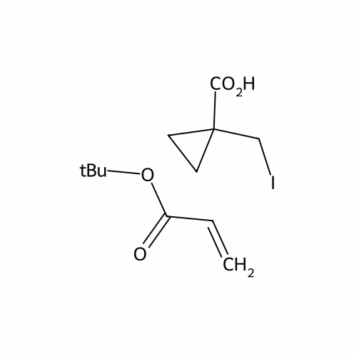 C=CC(=O)OC(C)(C)C.O=C(O)C1(CI)CC1